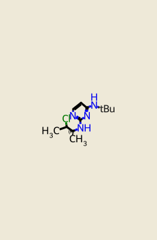 CC(Cl)[C@@H](C)Nc1nccc(NC(C)(C)C)n1